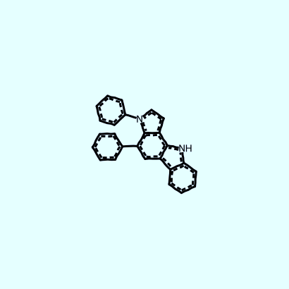 c1ccc(-c2cc3c4ccccc4[nH]c3c3ccn(-c4ccccc4)c23)cc1